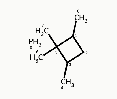 CC1CC(C)C1(C)C.P